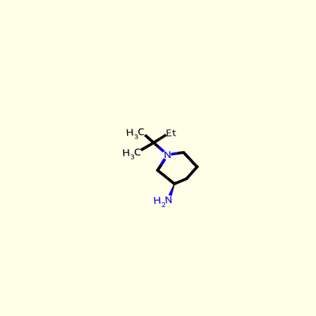 CCC(C)(C)N1CCC[C@@H](N)C1